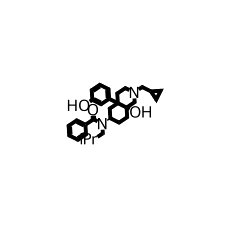 CC(C)CN(C(=O)c1ccccc1)[C@H]1CCC2(O)CN(CC3CC3)CCC2(c2cccc(O)c2)C1